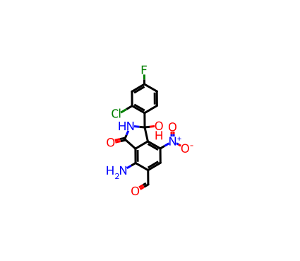 Nc1c(C=O)cc([N+](=O)[O-])c2c1C(=O)NC2(O)c1ccc(F)cc1Cl